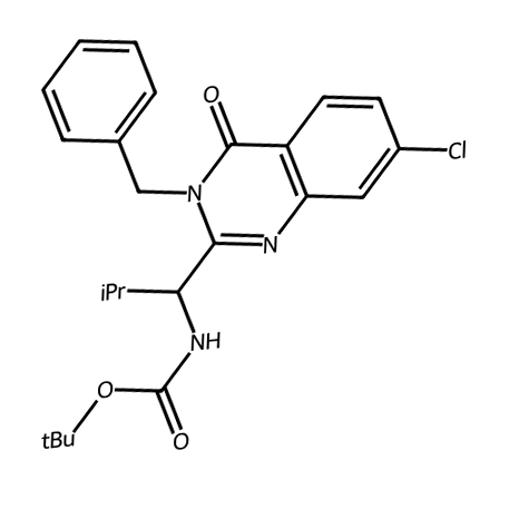 CC(C)C(NC(=O)OC(C)(C)C)c1nc2cc(Cl)ccc2c(=O)n1Cc1ccccc1